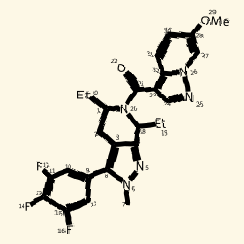 CCC1Cc2c(nn(C)c2-c2cc(F)c(F)c(F)c2)C(CC)N1C(=O)c1cnn2cc(OC)ccc12